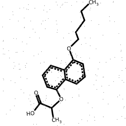 CCCCCOc1cccc2c(OC(C)C(=O)O)cccc12